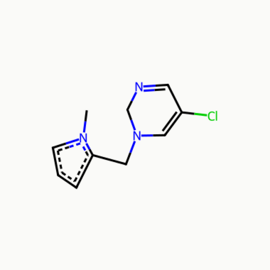 Cn1cccc1CN1C=C(Cl)C=NC1